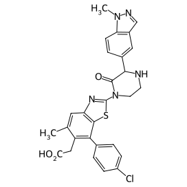 Cc1cc2nc(N3CCNC(c4ccc5c(cnn5C)c4)C3=O)sc2c(-c2ccc(Cl)cc2)c1CC(=O)O